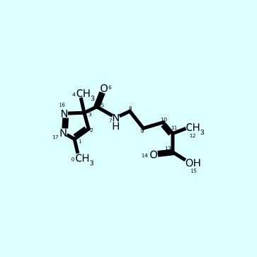 CC1=CC(C)(C(=O)NCCC=C(C)C(=O)O)N=N1